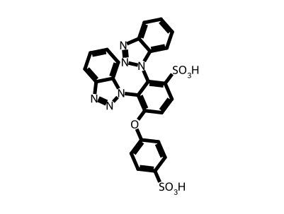 O=S(=O)(O)c1ccc(Oc2ccc(S(=O)(=O)O)c(-n3nnc4ccccc43)c2-n2nnc3ccccc32)cc1